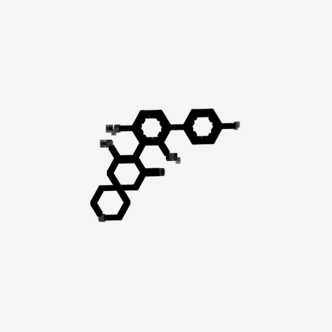 Cc1ccc(-c2ccc(F)cc2)c(C)c1C1=C(O)CC2(CCOCC2)CC1=O